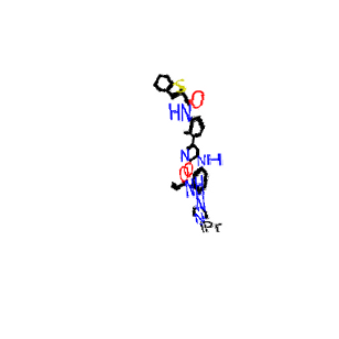 C=CC(=O)Nc1cc(Nc2cc(-c3cccc(NC(=O)c4cc5c(s4)CCCC5)c3C)cn(C)c2=O)ccc1N1CCN(C(C)C)CC1